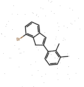 Cc1cccc(C2=Cc3cccc(Br)c3C2)c1C